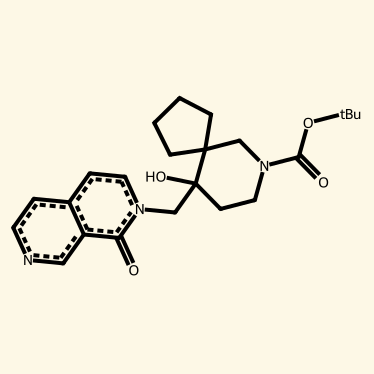 CC(C)(C)OC(=O)N1CCC(O)(Cn2ccc3ccncc3c2=O)C2(CCCC2)C1